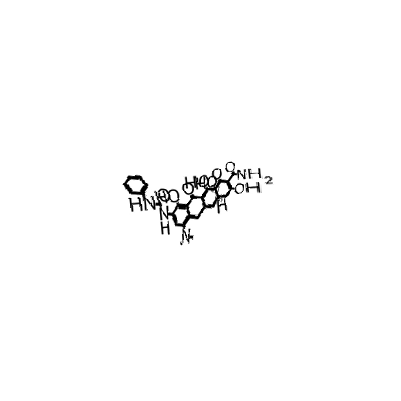 CN(C)c1cc(NC(=O)Nc2ccccc2)c(O)c2c1CC1C[C@H]3CC(O)=C(C(N)=O)C(=O)[C@@]3(O)C(O)=C1C2=O